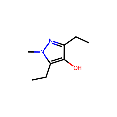 CCc1nn(C)c(CC)c1O